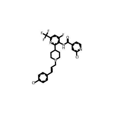 O=C(Nc1c(F)cc(C(F)(F)F)nc1C1CCN(CC=Cc2ccc(Cl)cc2)CC1)c1ccnc(Cl)c1